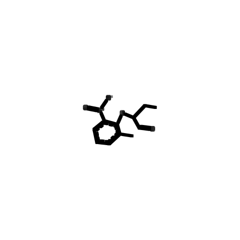 CCC(C=O)Oc1c(C)cccc1[N+](=O)[O-]